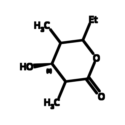 CCC1OC(=O)C(C)[C@@H](O)C1C